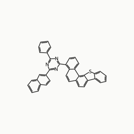 c1ccc(-c2nc(-c3ccc4ccccc4c3)nc(-c3cccc4c3ccc3ccc5c6ccccc6sc5c34)n2)cc1